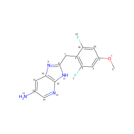 COc1cc(F)c(Cc2nc3cc(N)cnc3[nH]2)c(F)c1